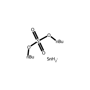 CCCCOS(=O)(=O)OCCCC.[SnH2]